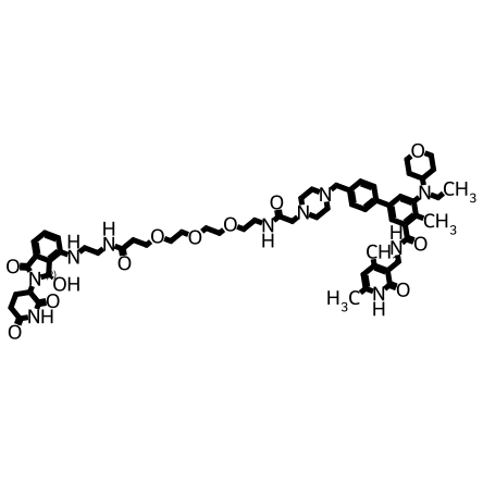 CCN(c1cc(-c2ccc(CN3CCN(CC(=O)NCCOCCOCCOCCC(=O)NCCNc4cccc5c4[C@@H](O)N(C4CCC(=O)NC4=O)C5=O)CC3)cc2)cc(C(=O)NCc2c(C)cc(C)[nH]c2=O)c1C)C1CCOCC1